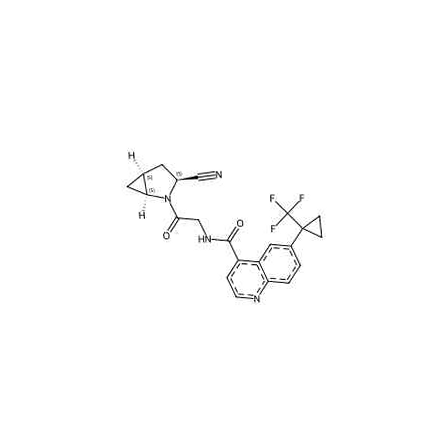 N#C[C@@H]1C[C@@H]2C[C@@H]2N1C(=O)CNC(=O)c1ccnc2ccc(C3(C(F)(F)F)CC3)cc12